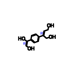 O/C=C(/O)c1ccc(/C(=C/CO)CO)cc1